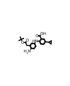 CC(C)(C)OC(=O)Cc1cc(Nc2ccc(C3CC3)cc2C(=O)O)ccc1N